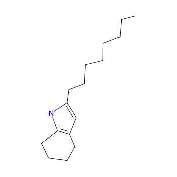 CCCCCCCCC1=CC2=C(CCCC2)[N]1